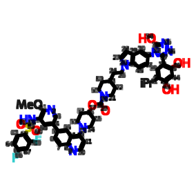 COc1ncc(-c2ccc3nccc(N4CCC(OC(=O)N5CCC(CCn6ccc7cc(-n8c(O)nnc8-c8cc(C(C)C)c(O)cc8O)ccc76)CC5)CC4)c3c2)cc1NS(=O)(=O)c1ccc(F)cc1F